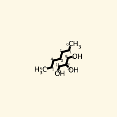 CCCCCCC.OCC(O)CO